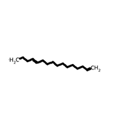 [CH2]CCC=CCCCCCCCCCC=C